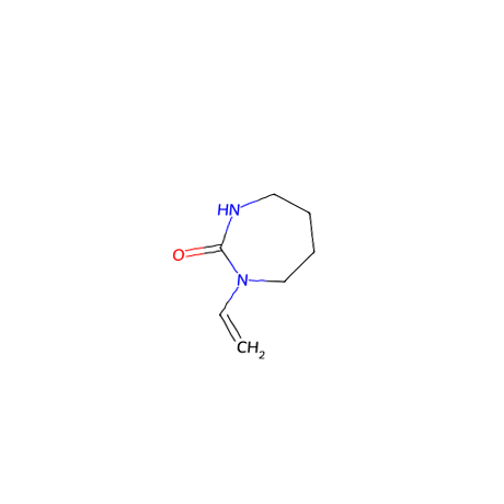 C=CN1CCCCNC1=O